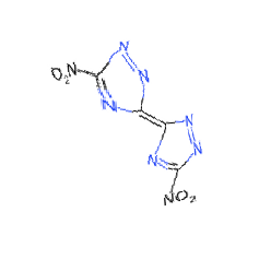 O=[N+]([O-])C1=NC(=C2N=NC([N+](=O)[O-])=N2)N=N1